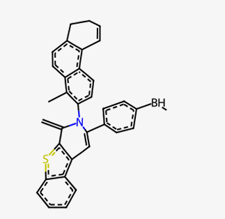 C=C1c2sc3ccccc3c2C=C(c2ccc(BC)cc2)N1c1ccc2c3c(ccc2c1C)CCC=C3